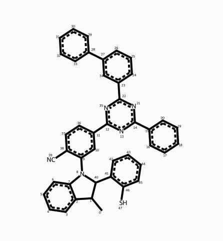 CC1c2ccccc2N(c2cc(-c3nc(-c4ccccc4)nc(-c4cccc(-c5ccccc5)c4)n3)ccc2C#N)C1c1ccccc1S